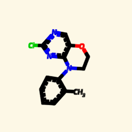 Cc1ccccc1N1CCOc2cnc(Cl)nc21